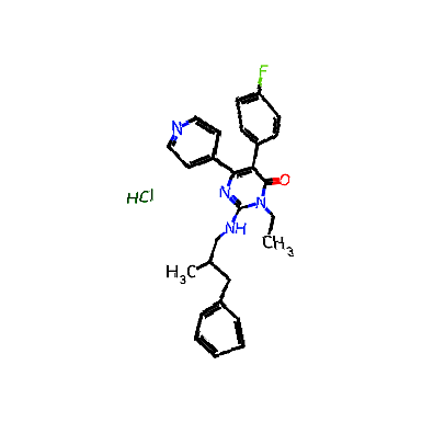 CCn1c(NCC(C)Cc2ccccc2)nc(-c2ccncc2)c(-c2ccc(F)cc2)c1=O.Cl